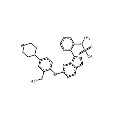 COc1cc(C2CCNCC2)ccc1Nc1ncc2ccc(-c3ccccc3N(C)S(C)(=O)=O)n2n1